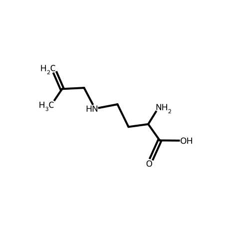 C=C(C)CNCCC(N)C(=O)O